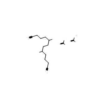 CC(CCCC#N)CCC(C)CCCC#N.O=C(O)O.O=C(O)O